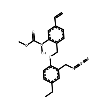 C=Cc1ccc(COc2ccc(CC)cc2CN=[N+]=[N-])c(N(O)C(=O)OC)c1